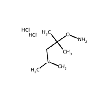 CN(C)CC(C)(C)ON.Cl.Cl